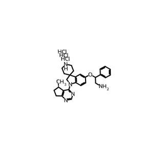 C[C@@H]1CCc2ncnc(N3CC4(CCNCC4)c4cc(OC(CN)c5ccccc5)ccc43)c21.Cl.Cl.Cl